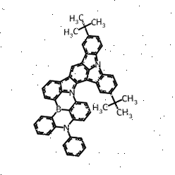 CC(C)(C)c1ccc2c(c1)c1cc3c4cccc5c4n(c3c3c4cc(C(C)(C)C)ccc4n2c13)-c1cccc2c1B5c1ccccc1N2c1ccccc1